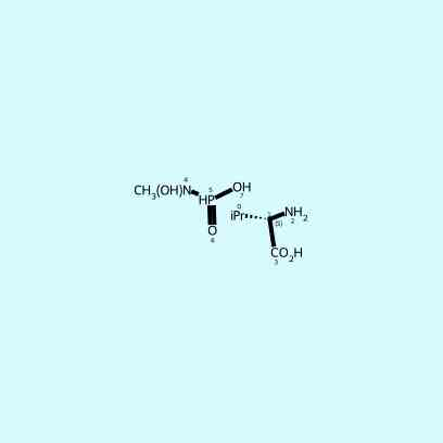 CC(C)[C@H](N)C(=O)O.CN(O)[PH](=O)O